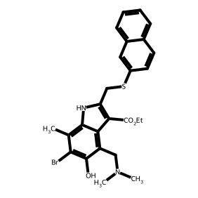 CCOC(=O)c1c(CSc2ccc3ccccc3c2)[nH]c2c(C)c(Br)c(O)c(CN(C)C)c12